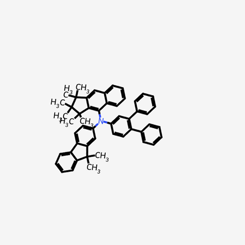 CC1(C)c2ccccc2-c2ccc(N(c3ccc(-c4ccccc4)c(-c4ccccc4)c3)c3c4c(cc5ccccc35)C(C)(C)C(C)(C)C4(C)C)cc21